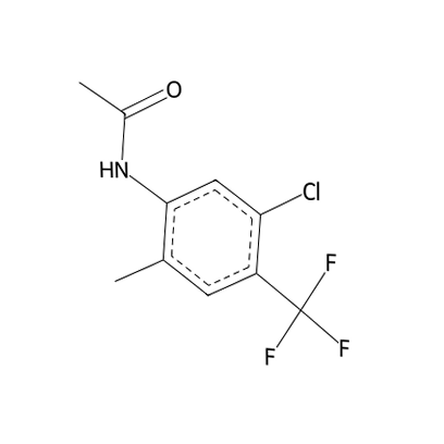 CC(=O)Nc1cc(Cl)c(C(F)(F)F)cc1C